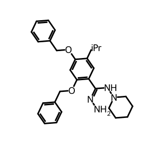 CC(C)c1cc(/C(=N/N)NN2CCCCC2)c(OCc2ccccc2)cc1OCc1ccccc1